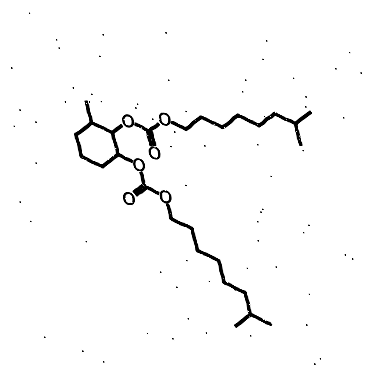 CC(C)CCCCCCOC(=O)OC1CCCC(C)C1OC(=O)OCCCCCCC(C)C